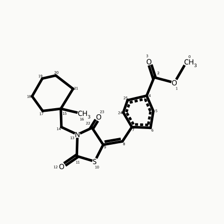 COC(=O)c1ccc(C=C2SC(=O)N(CC3(C)CCCCC3)C2=O)cc1